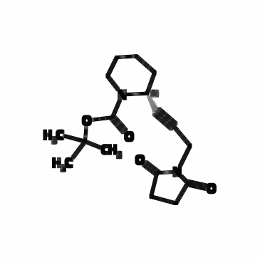 CC(C)(C)OC(=O)N1CCCC[C@@H]1C#CCN1C(=O)CCC1=O